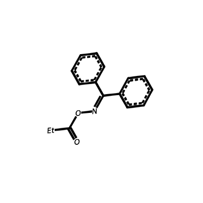 CCC(=O)ON=C(c1ccccc1)c1ccccc1